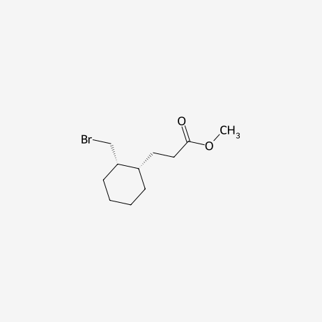 COC(=O)CC[C@@H]1CCCC[C@@H]1CBr